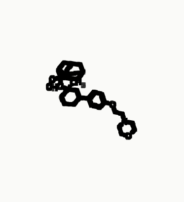 C[C@]1(OC2(OO)C3CC4CC(C3)CC2C4)CCCC(c2ccc(OCCN3CCOCC3)cc2)C1